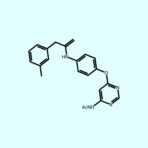 C=C(Cc1cccc(C)c1)Nc1ccc(Oc2cc(NC(C)=O)ncn2)cc1